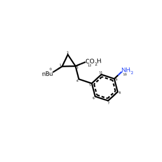 CCCCC1CC1(Cc1cccc(N)c1)C(=O)O